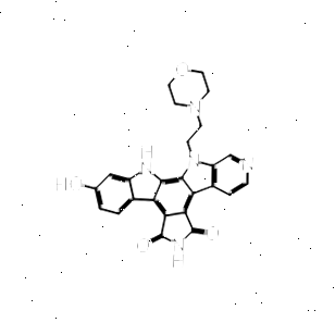 O=C1NC(=O)c2c1c1c3ccc(O)cc3[nH]c1c1c2c2ccncc2n1CCN1CCOCC1